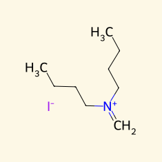 C=[N+](CCCC)CCCC.[I-]